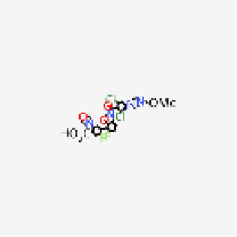 COCCN1CCN(c2cc(Cl)c(C(=O)N3COc4c(ccc(F)c4-c4cc(N5CCOCC5)c(C(=O)O)cc4F)C3)c(Cl)c2)CC1